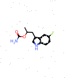 CC(Cc1c[nH]c2ccc(F)cc12)OC(N)=O